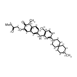 CNC(=O)COc1cc2cc(Nc3nc(N4CCC5(CCN(C)CC5)CC4)ncc3Cl)ccc2n(C)c1=O